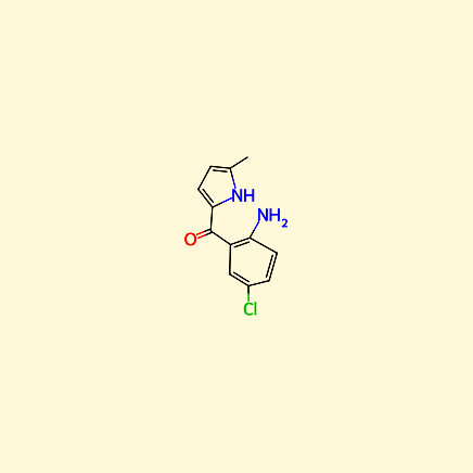 Cc1ccc(C(=O)c2cc(Cl)ccc2N)[nH]1